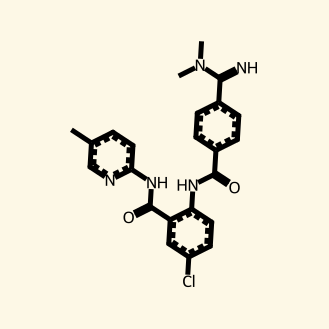 Cc1ccc(NC(=O)c2cc(Cl)ccc2NC(=O)c2ccc(C(=N)N(C)C)cc2)nc1